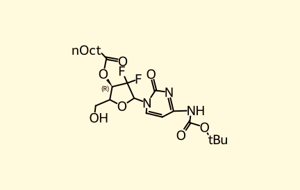 CCCCCCCCC(=O)O[C@@H]1C(CO)OC(n2ccc(NC(=O)OC(C)(C)C)nc2=O)C1(F)F